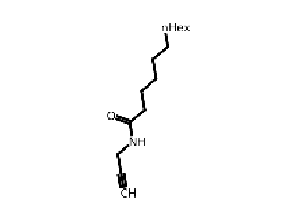 C#CCNC(=O)CCCCCCCCCCC